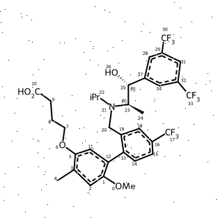 COc1cc(C)c(OCCCC(=O)O)cc1-c1ccc(C(F)(F)F)cc1CN(C(C)C)[C@H](C)[C@H](O)c1cc(C(F)(F)F)cc(C(F)(F)F)c1